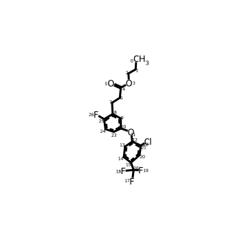 CCCOC(=O)CCc1cc(Oc2ccc(C(F)(F)F)cc2Cl)ccc1F